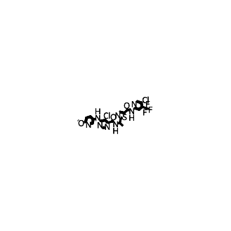 COc1ccc(Nc2ncnc(C(=O)NC(C)c3ncc(C(=O)Nc4cc(C(F)(F)F)c(Cl)cn4)s3)c2Cl)cn1